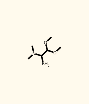 BC(C(OC)OC)N(C)C